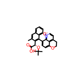 Cc1cc2ccccc2c(-c2ccc3c4c(cc[n+]([O-])c24)CCO3)c1[C@H](OC(C)(C)C)C(=O)O